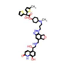 Cc1ccc([C@@](O)(C(=O)OC2CCC(N(C)CCCn3nnc4cc(CNC[C@H](O)c5ccc(O)c6[nH]c(=O)ccc56)c5c(c43)COC5)CC2)c2cccs2)s1